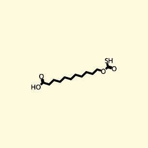 O=C(O)CCCCCCCCCCOC(=O)S